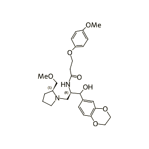 COC[C@@H]1CCCN1C[C@@H](NC(=O)CCOc1ccc(OC)cc1)C(O)c1ccc2c(c1)OCCO2